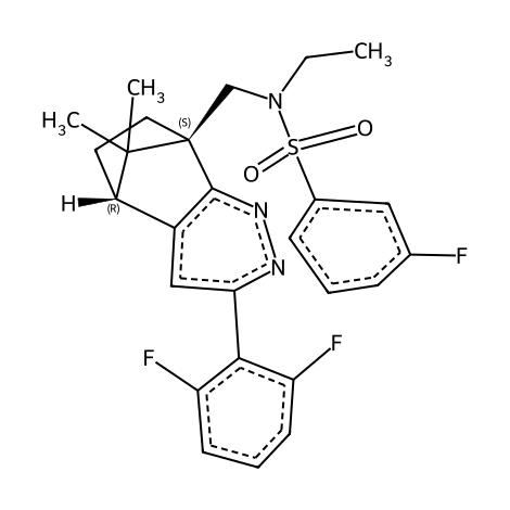 CCN(C[C@@]12CC[C@@H](c3cc(-c4c(F)cccc4F)nnc31)C2(C)C)S(=O)(=O)c1cccc(F)c1